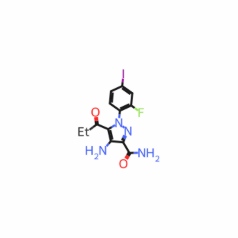 CCC(=O)c1c(N)c(C(N)=O)nn1-c1ccc(I)cc1F